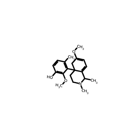 COC1=CC=C2C(C)N(C)CCC2(c2c(C)ccc(O)c2OC)C1